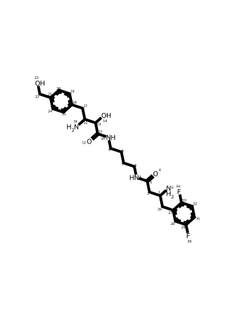 NC(CC(=O)NCCCCNC(=O)C(O)C(N)Cc1ccc(CO)cc1)Cc1cc(F)ccc1F